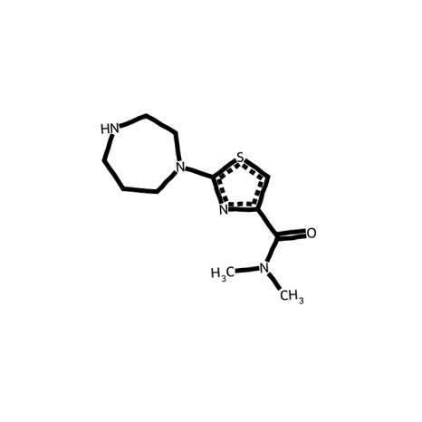 CN(C)C(=O)c1csc(N2CCCNCC2)n1